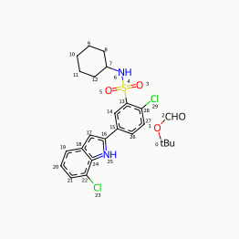 CC(C)(C)OC=O.O=S(=O)(NC1CCCCC1)c1cc(-c2cc3cccc(Cl)c3[nH]2)ccc1Cl